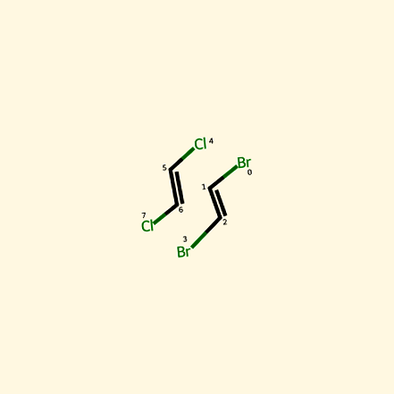 BrC=CBr.ClC=CCl